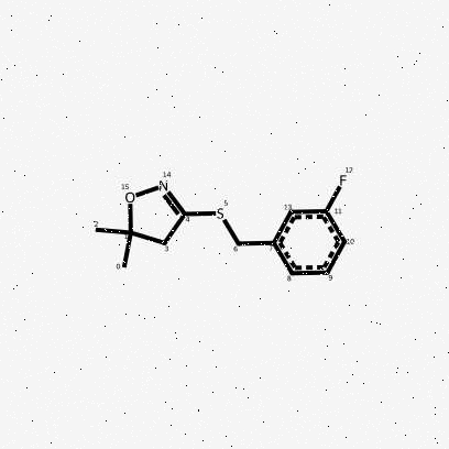 CC1(C)CC(SCc2cccc(F)c2)=NO1